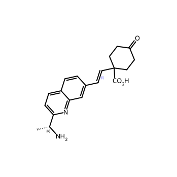 C[C@@H](N)c1ccc2ccc(/C=C/C3(C(=O)O)CCC(=O)CC3)cc2n1